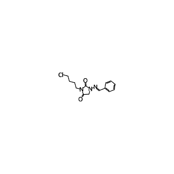 O=C1CN(N=Cc2ccccc2)C(=O)N1CCCCCl